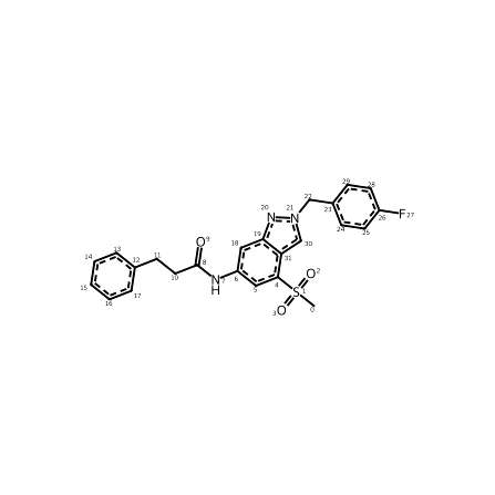 CS(=O)(=O)c1cc(NC(=O)CCc2ccccc2)cc2nn(Cc3ccc(F)cc3)cc12